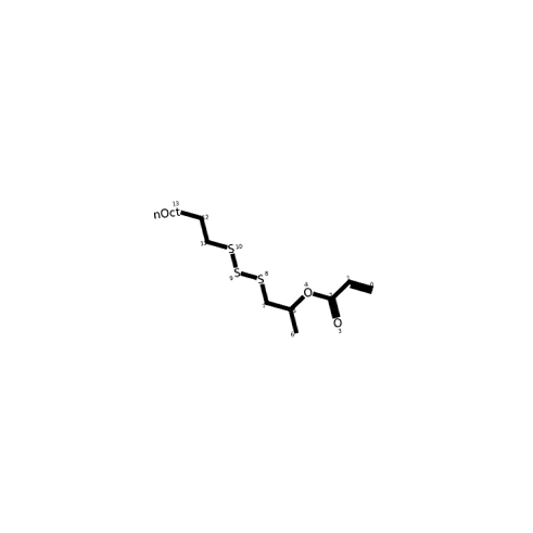 C=CC(=O)OC(C)CSSSCCCCCCCCCC